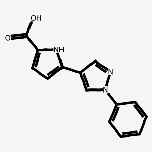 O=C(O)c1ccc(-c2cnn(-c3ccccc3)c2)[nH]1